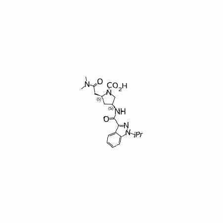 CC(C)n1nc(C(=O)N[C@H]2C[C@@H](CC(=O)N(C)C)N(C(=O)O)C2)c2ccccc21